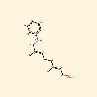 CC(=CCC/C(C)=C/CO)CNc1ccccc1